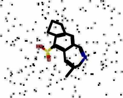 CC1=Cc2c(cc3c(c2S(=O)O)CCC3)C=NC1